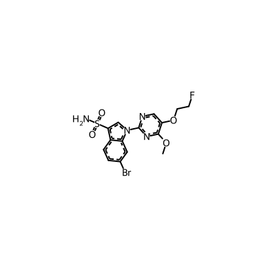 COc1nc(-n2cc(S(N)(=O)=O)c3ccc(Br)cc32)ncc1OCCF